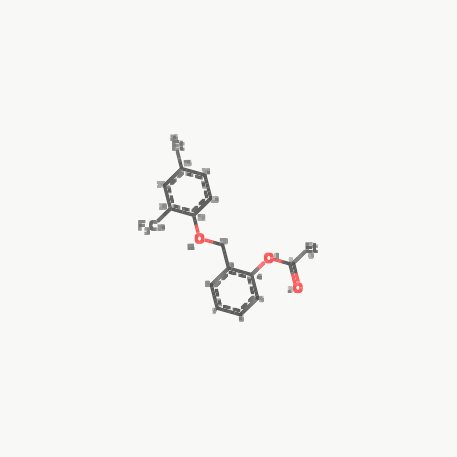 CCC(=O)Oc1ccccc1COc1ccc(CC)cc1C(F)(F)F